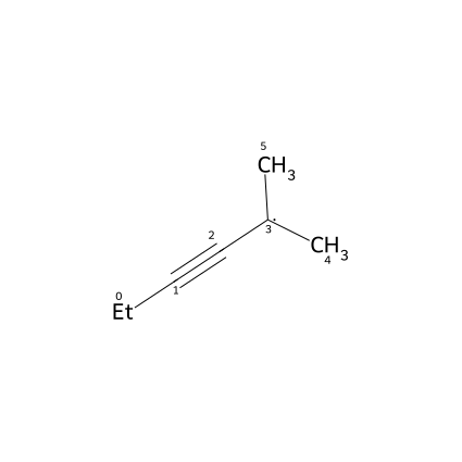 CCC#C[C](C)C